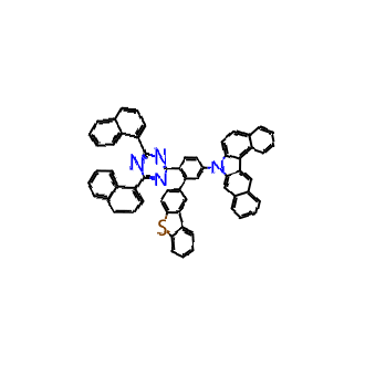 c1ccc2cc3c(cc2c1)c1c2ccccc2ccc1n3-c1ccc(-c2nc(-c3cccc4ccccc34)nc(-c3cccc4ccccc34)n2)c(-c2ccc3sc4ccccc4c3c2)c1